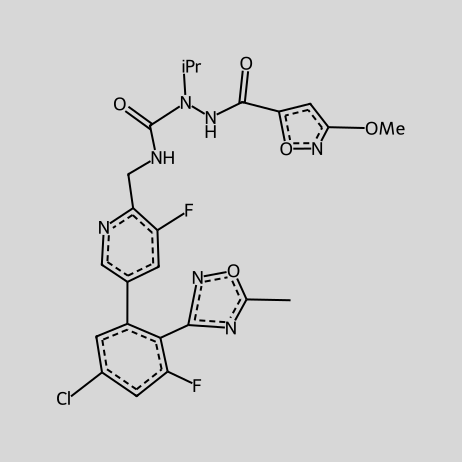 COc1cc(C(=O)NN(C(=O)NCc2ncc(-c3cc(Cl)cc(F)c3-c3noc(C)n3)cc2F)C(C)C)on1